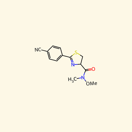 CON(C)C(=O)C1CSC(c2ccc(C#N)cc2)=N1